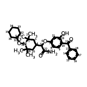 CC1(C)CC(C(Oc2ccc(C(=O)c3ccccc3)c(O)c2)C(N)=O)CC(C)(C)N1OC1CCCCC1